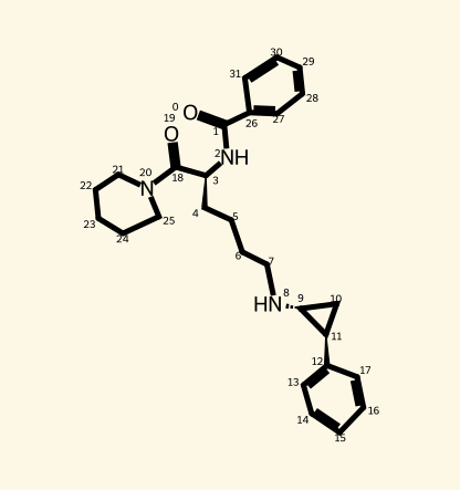 O=C(N[C@@H](CCCCN[C@@H]1C[C@H]1c1ccccc1)C(=O)N1CCCCC1)c1ccccc1